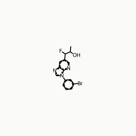 CC(O)C(F)c1cnc2c(c1)ncn2-c1cccc(Br)c1